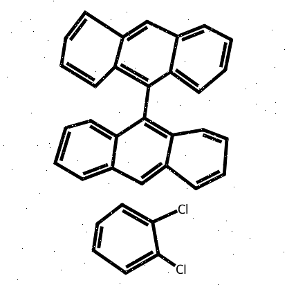 Clc1ccccc1Cl.c1ccc2c(-c3c4ccccc4cc4ccccc34)c3ccccc3cc2c1